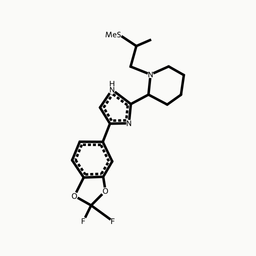 CSC(C)CN1CCCCC1c1nc(-c2ccc3c(c2)OC(F)(F)O3)c[nH]1